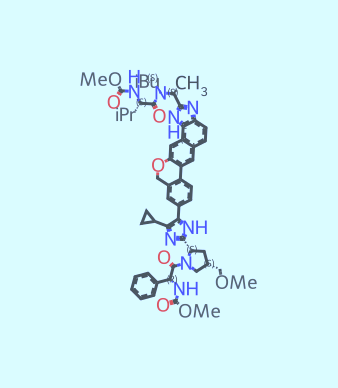 CC[C@H](C)N(C(=O)[C@@H](NC(=O)OC)C(C)C)[C@@H](C)c1nc2ccc3cc4c(cc3c2[nH]1)OCc1cc(-c2[nH]c([C@@H]3C[C@H](COC)CN3C(=O)[C@H](NC(=O)OC)c3ccccc3)nc2C2CC2)ccc1-4